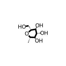 C[C@@H]1O[C@H](CO)[C@H](O)[C@H](O)[C@H]1O